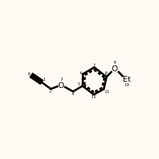 C#CCOCc1ccc(OCC)cc1